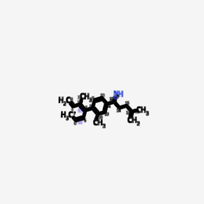 C=C/C(C)=C(\C=C/C)c1ccc(C(=N)CCC(=C)C)cc1C